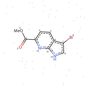 COC(=O)c1ccc2c(Br)c[nH]c2n1